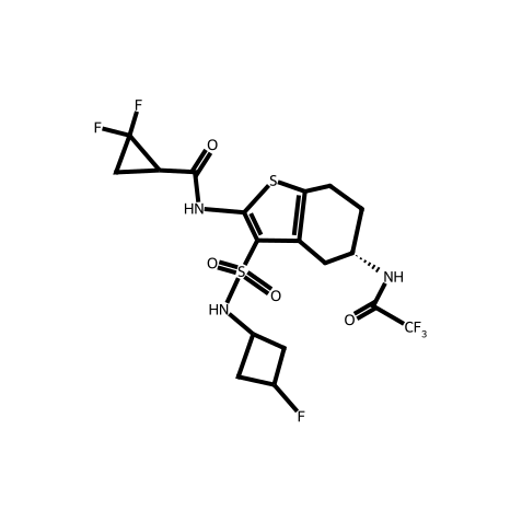 O=C(Nc1sc2c(c1S(=O)(=O)NC1CC(F)C1)C[C@@H](NC(=O)C(F)(F)F)CC2)C1CC1(F)F